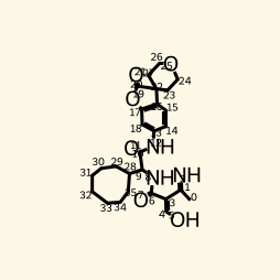 CC(=N)/C(=C\O)C(=O)NC(C(=O)Nc1ccc2c(c1)OC(=O)C21CCOCC1)C1CCCCCCC1